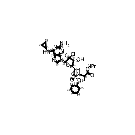 CC(C)OC(=O)[C@@H](C)NP(=O)(OC[C@H]1O[C@@H](n2cnc3c(NC4CC4)nc(N)nc32)[C@@](Cl)(C(F)(F)F)[C@@H]1O)Oc1ccccc1